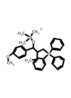 CCC(C[P+](c1ccccc1)(c1ccccc1)c1ccccc1)C(O[Si](C)(C)C)c1ccc(OC)cc1.[I-]